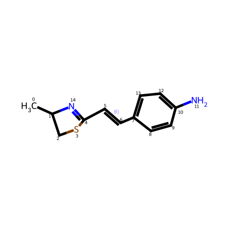 CC1CSC(/C=C/c2ccc(N)cc2)=N1